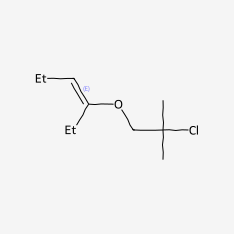 CC/C=C(\CC)OCC(C)(C)Cl